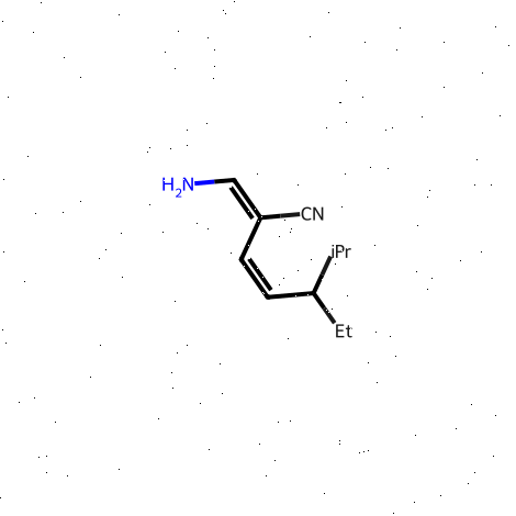 CCC(/C=C\C(C#N)=C/N)C(C)C